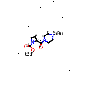 CCCCN1CCN(C(=O)C2CCN2C(=O)OC(C)(C)C)CC1